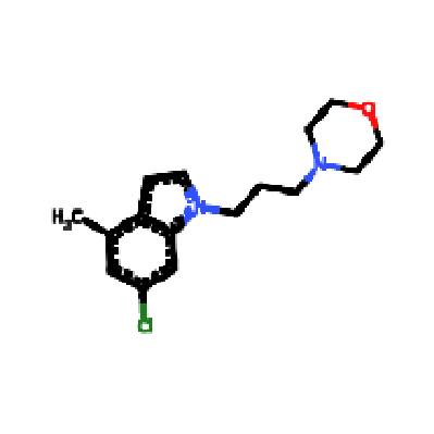 Cc1cc(Cl)cc2c1ccn2CCCN1CCOCC1